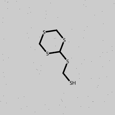 SCSC1SCSCS1